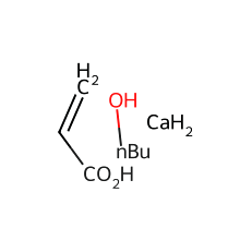 C=CC(=O)O.CCCCO.[CaH2]